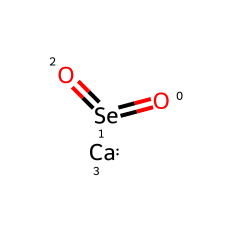 O=[Se]=O.[Ca]